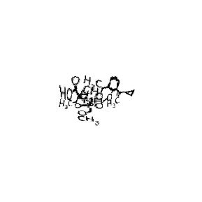 CCC(C)(NP(=O)(COC)OCOc1c(C(C)C)cccc1[C@H](C)C1CC1)C(=O)O